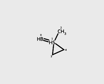 B=[SH]1(C)CC1